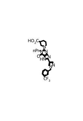 CCCn1c(N2CCCC(C(=O)O)C2)nc2nc(-c3cnn(Cc4cccc(C(F)(F)F)c4)c3)[nH]c2c1=O